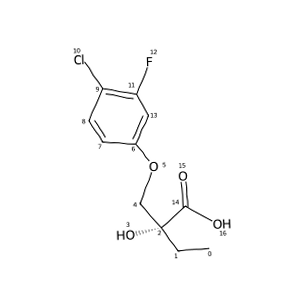 CC[C@@](O)(COc1ccc(Cl)c(F)c1)C(=O)O